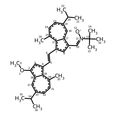 COc1cc(/C=C/c2cc(/C=[N+](\[O-])C(C)(C)C)c3cc(C(C)C)ccc(C)c2-3)c2c(C)ccc(C(C)C)cc1-2